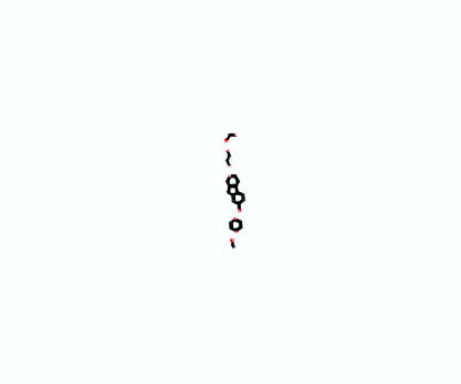 C=C(C)C(=O)Oc1ccc(OC(=O)c2ccc3c(c2)C(C)c2cc(OCCCCOC(=O)C(=C)CO)ccc2-3)cc1